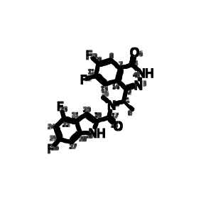 C[C@H](c1n[nH]c(=O)c2cc(F)c(F)cc12)N(C)C(=O)c1cc2c(F)cc(F)cc2[nH]1